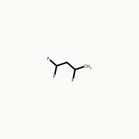 CC(F)C[C](F)F